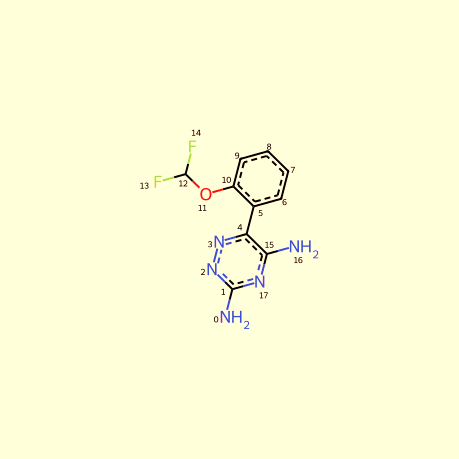 Nc1nnc(-c2ccccc2OC(F)F)c(N)n1